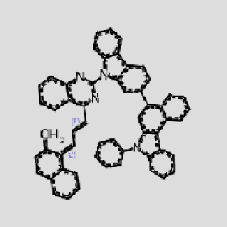 C=c1ccc2ccccc2/c1=C/C=C/c1nc(-n2c3ccccc3c3ccc(-c4cc5c(c6ccccc46)c4ccccc4n5-c4ccccc4)cc32)nc2ccccc12